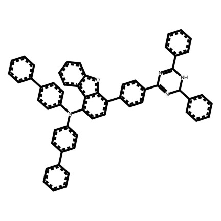 c1ccc(C2=NC(c3ccc(-c4ccc(N(c5ccc(-c6ccccc6)cc5)c5ccc(-c6ccccc6)cc5)c5c4oc4ccccc45)cc3)=NC(c3ccccc3)N2)cc1